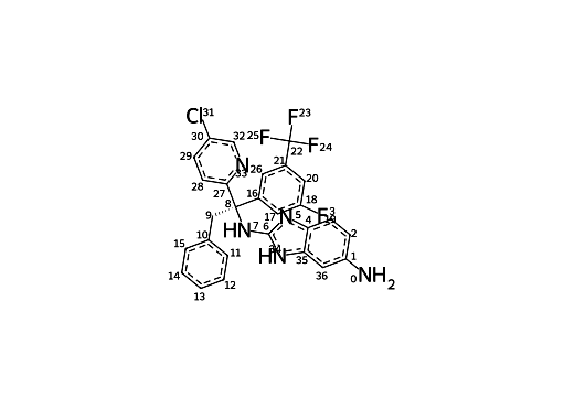 Nc1ccc2nc(N[C@](Cc3ccccc3)(c3cc(F)cc(C(F)(F)F)c3)c3ccc(Cl)cn3)[nH]c2c1